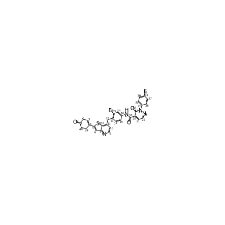 O=C1CC=C(c2cc3nccc(Cc4ccc(NC(=O)c5ccnn(-c6ccc(F)cc6)c5=O)cc4F)c3s2)CC1